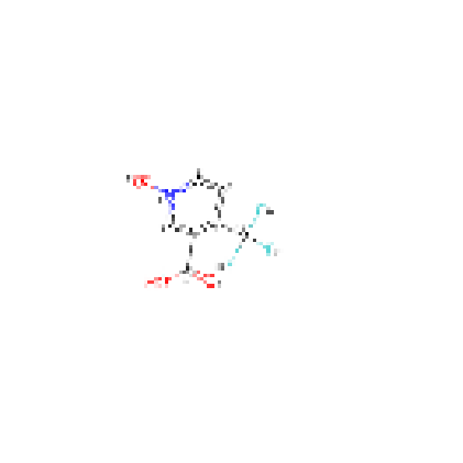 O=C(O)c1c[n+]([O-])ccc1C(F)(F)F